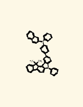 CC1(C)c2ccccc2-c2ccc3c(c21)c1cc(-c2ccc(N(c4ccccc4)c4ccc5ccccc5c4)cc2)ccc1n3-c1ccccc1